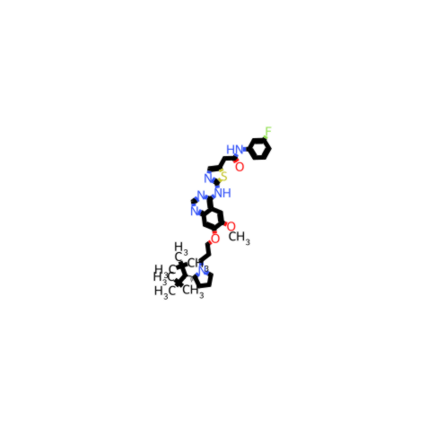 COc1cc2c(Nc3ncc(CC(=O)Nc4cccc(F)c4)s3)ncnc2cc1OCCCN1CCC[C@@H]1[C](C(C)(C)C)C(C)(C)C